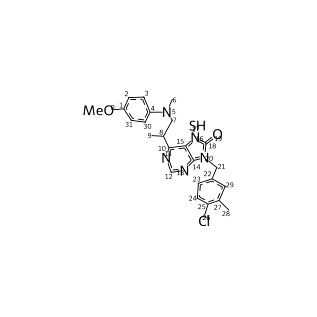 COc1ccc(N(C)CC(C)c2ncnc3c2n(S)c(=O)n3Cc2ccc(Cl)c(C)c2)cc1